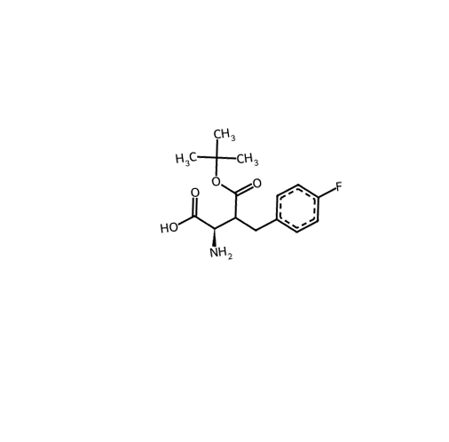 CC(C)(C)OC(=O)C(Cc1ccc(F)cc1)[C@@H](N)C(=O)O